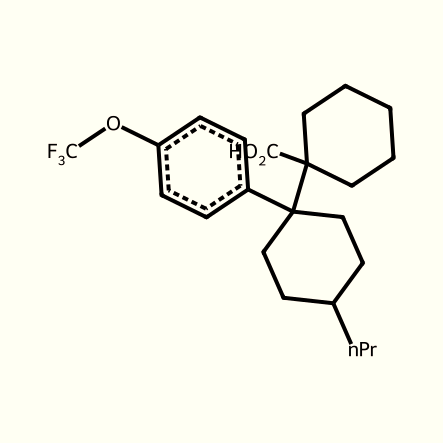 CCCC1CCC(c2ccc(OC(F)(F)F)cc2)(C2(C(=O)O)CCCCC2)CC1